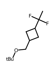 CC(C)(C)OCC1CC(C(C)(F)F)C1